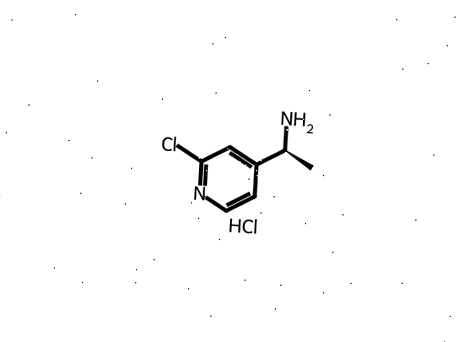 C[C@H](N)c1ccnc(Cl)c1.Cl